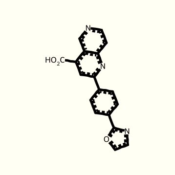 O=C(O)c1cc(-c2ccc(-c3ncco3)cc2)nc2ccncc12